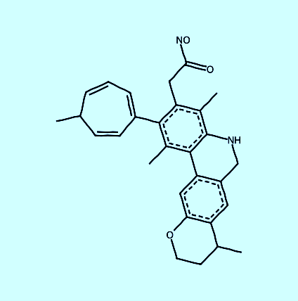 Cc1c(CC(=O)N=O)c(C2=CC=CC(C)C=C2)c(C)c2c1NCc1cc3c(cc1-2)OCCC3C